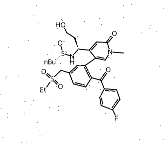 CCCC[S@+]([O-])N[C@@H](CCO)c1cc(=O)n(C)cc1-c1cc(CS(=O)(=O)CC)ccc1C(=O)c1ccc(F)cc1